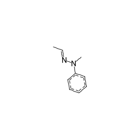 CC=NN(C)c1ccccc1